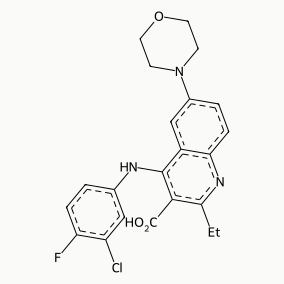 CCc1nc2ccc(N3CCOCC3)cc2c(Nc2ccc(F)c(Cl)c2)c1C(=O)O